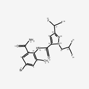 Cc1cc(Br)cc(C(N)=O)c1NC(=O)c1cc(C(F)F)nn1CC(F)F